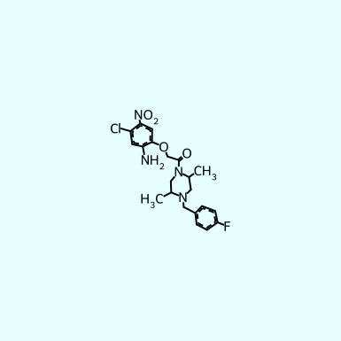 CC1CN(C(=O)COc2cc([N+](=O)[O-])c(Cl)cc2N)C(C)CN1Cc1ccc(F)cc1